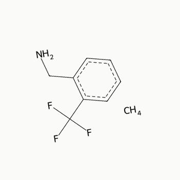 C.NCc1ccccc1C(F)(F)F